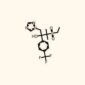 CCS(=O)(=O)C(C)(C)C(O)(Cn1cncn1)c1ccc(C(F)(F)F)cc1